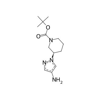 CC(C)(C)OC(=O)N1CCC[C@@H](n2cc(N)cn2)C1